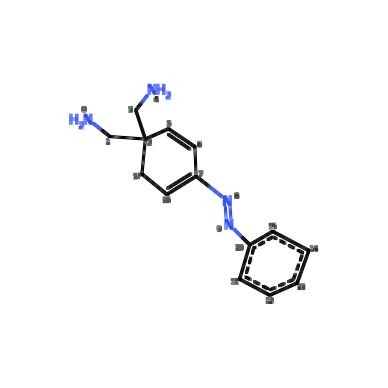 NCC1(CN)C=CC(N=Nc2ccccc2)=CC1